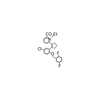 CCOC(=O)c1cccc(C2=C(c3cc(Cl)ccc3OCc3cc(F)ccc3F)CCC2)n1